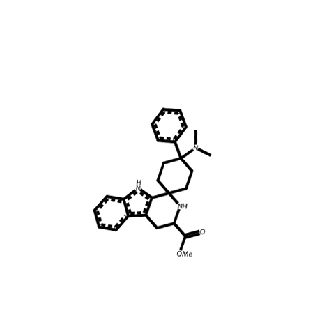 COC(=O)C1Cc2c([nH]c3ccccc23)C2(CCC(c3ccccc3)(N(C)C)CC2)N1